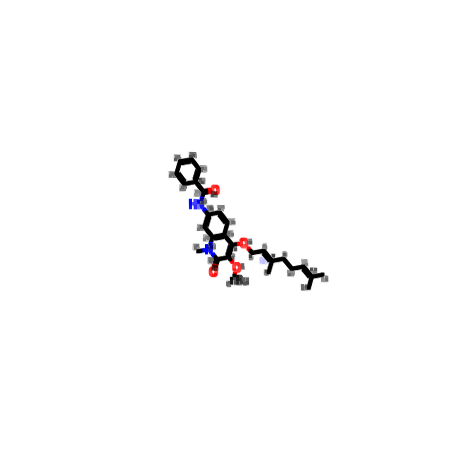 CCCCOc1c(OC/C=C(\C)CCC=C(C)C)c2ccc(NC(=O)c3ccccc3)cc2n(C)c1=O